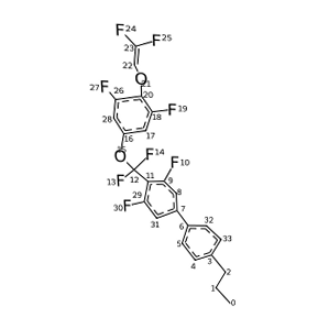 CCCc1ccc(-c2cc(F)c(C(F)(F)Oc3cc(F)c(OC=C(F)F)c(F)c3)c(F)c2)cc1